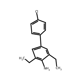 CCc1cc(-c2ccc(Cl)cc2)cc(CC)c1N